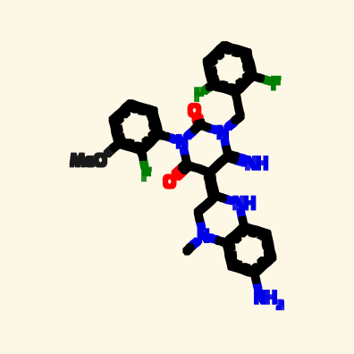 COc1cccc(N2C(=O)/C(=C3\CN(C)c4cc(N)ccc4N3)C(=N)N(Cc3c(F)cccc3F)C2=O)c1F